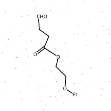 [CH2]COCCOC(=O)CCC=O